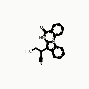 CCC(C#N)c1c2ccccc2n2c1[nH]c(=O)c1ccccc12